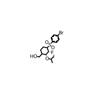 CC(I)O[C@@H]1C(CO)CCC(S(=O)(=O)c2ccc(Br)cc2)[C@@H]1F